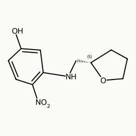 O=[N+]([O-])c1ccc(O)cc1NC[C@@H]1CCCO1